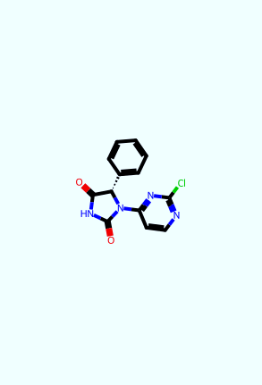 O=C1NC(=O)N(c2ccnc(Cl)n2)[C@H]1c1ccccc1